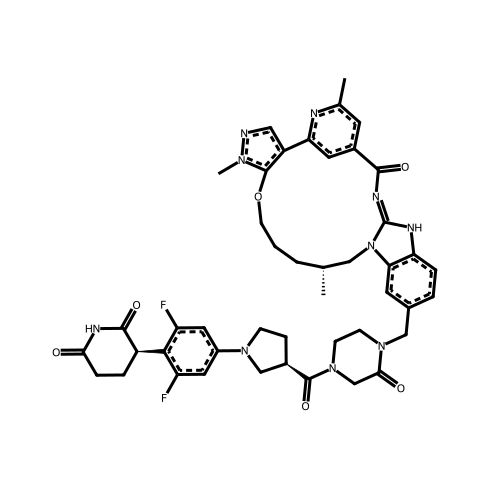 Cc1cc2cc(n1)-c1cnn(C)c1OCCC[C@@H](C)CN1/C(=N/C2=O)Nc2ccc(CN3CCN(C(=O)[C@@H]4CCN(c5cc(F)c([C@H]6CCC(=O)NC6=O)c(F)c5)C4)CC3=O)cc21